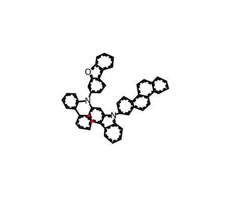 c1ccc(-c2ccccc2N(c2ccc3c(c2)oc2ccccc23)c2ccc3c4ccccc4n(-c4ccc5c(ccc6c7ccccc7ccc56)c4)c3c2)cc1